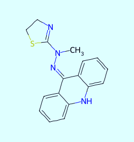 CN(N=c1c2ccccc2[nH]c2ccccc12)C1=NCCS1